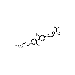 C=C(C)C(=O)O/C=C\Oc1ccc(-c2ccc(O/C=C\OC)cc2F)c(F)c1